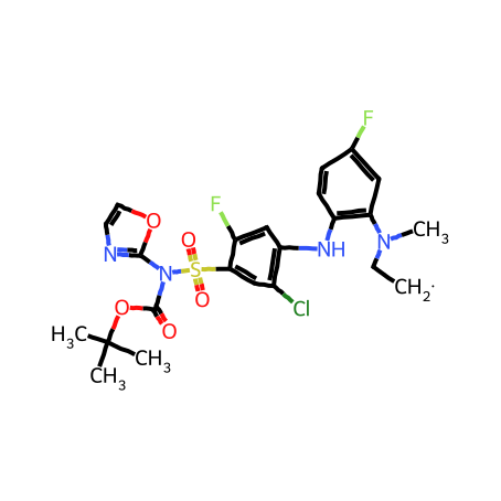 [CH2]CN(C)c1cc(F)ccc1Nc1cc(F)c(S(=O)(=O)N(C(=O)OC(C)(C)C)c2ncco2)cc1Cl